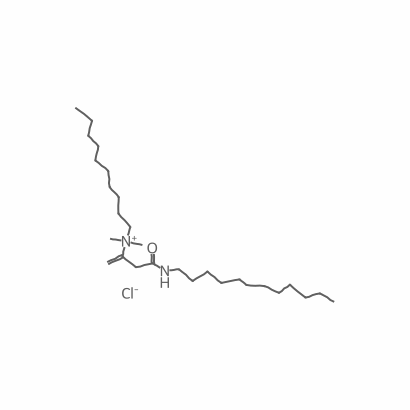 C=C(CC(=O)NCCCCCCCCCCCC)[N+](C)(C)CCCCCCCCCC.[Cl-]